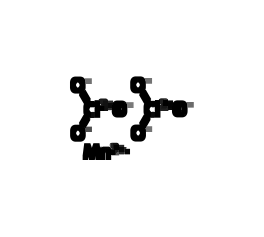 [Mn+2].[O-][Cl+2]([O-])[O-].[O-][Cl+2]([O-])[O-]